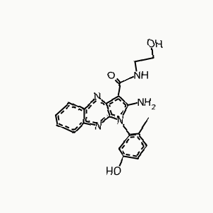 Cc1ccc(O)cc1-n1c(N)c(C(=O)NCCO)c2nc3ccccc3nc21